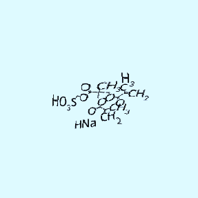 C=C(C)C(=O)OCC(C)(COC(=O)C(=C)C)C(=O)OCS(=O)(=O)O.[NaH]